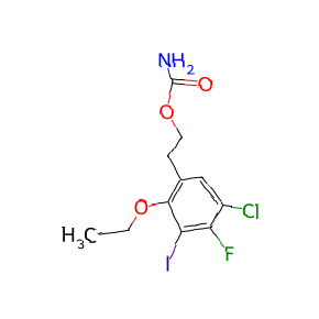 CCOc1c(CCOC(N)=O)cc(Cl)c(F)c1I